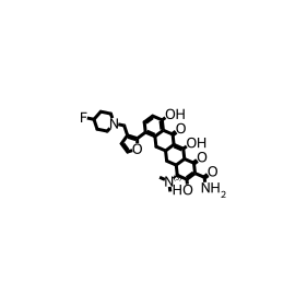 CN(C)[C@@H]1C(O)=C(C(N)=O)C(=O)C2C(O)=C3C(=O)c4c(O)ccc(-c5occc5CN5CCC(F)CC5)c4CC3CC21